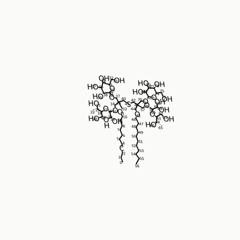 CCCCCCCCCCCOCC(COC(OC(CO)[C@H](C)O)C(O)O)(COC1OC(CO)C(O)C(O)C1O)CSCC(COCCCCCCCCCCC)(COC(OC(CO)[C@H](C)O)C(O)O)COC1OC(CO)C(O)C(O)C1O